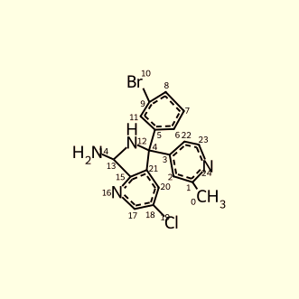 Cc1cc(C2(c3cccc(Br)c3)NC(N)c3ncc(Cl)cc32)ccn1